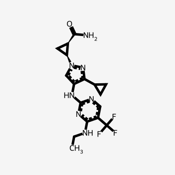 CCNc1nc(Nc2cn([C@H]3C[C@H]3C(N)=O)nc2C2CC2)ncc1C(F)(F)F